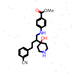 COC(=O)c1ccc(NCC(CCc2cccc(C#N)c2)C2(O)CCNCC2)cc1